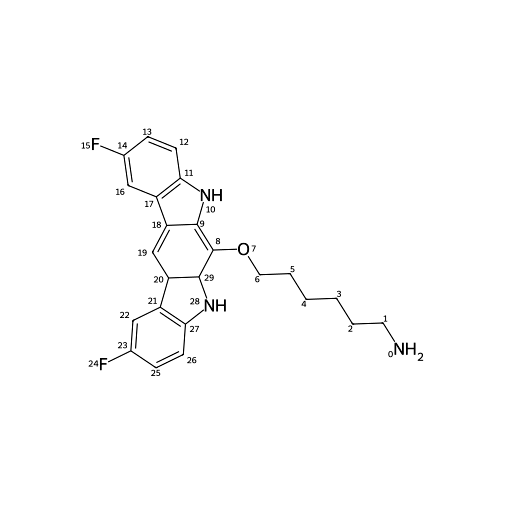 NCCCCCCOC1=c2[nH]c3ccc(F)cc3c2=CC2c3cc(F)ccc3NC12